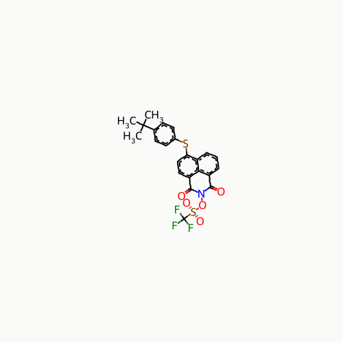 CC(C)(C)c1ccc(Sc2ccc3c4c(cccc24)C(=O)N(OS(=O)(=O)C(F)(F)F)C3=O)cc1